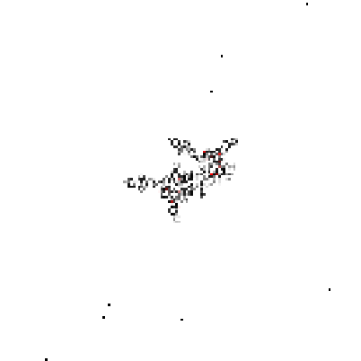 COc1ccc(C(C)(C)c2ccc(Oc3ccc(S(=O)(=O)c4ccc(C)cc4)cc3)c(C[P+](c3c(CO)cc(OC)cc3OC)(c3c(CO)cc(OC)cc3OC)c3c(CO)cc(OC)c(CCCc4c(CO)cc(OC)c([P+](Cc5cc(C(C)(C)c6ccc(OC)cc6)ccc5Oc5ccc(S(=O)(=O)c6ccc(C)cc6)cc5)(c5c(CO)cc(OC)cc5OC)c5c(CO)cc(OC)cc5OC)c4OC)c3CO)c2)cc1